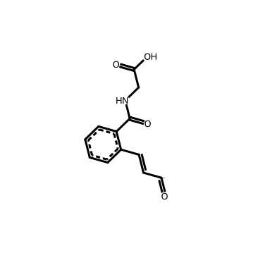 O=[C]/C=C/c1ccccc1C(=O)NCC(=O)O